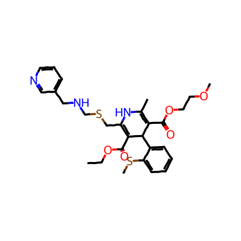 CCOC(=O)C1=C(CSCNCc2cccnc2)NC(C)=C(C(=O)OCCOC)C1c1ccccc1SC